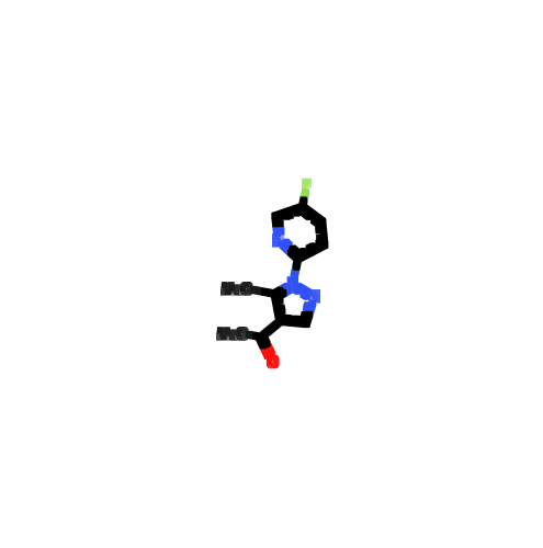 COC(=O)c1cnn(-c2ccc(F)cn2)c1OC